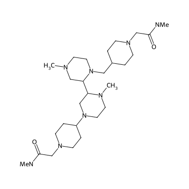 CNC(=O)CN1CCC(CN2CCN(C)CC2C2CN(C3CCN(CC(=O)NC)CC3)CCN2C)CC1